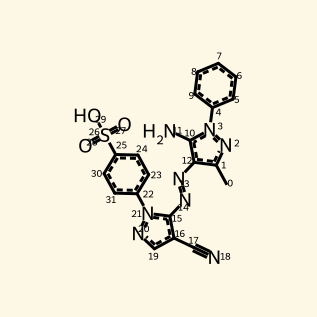 Cc1nn(-c2ccccc2)c(N)c1/N=N/c1c(C#N)cnn1-c1ccc(S(=O)(=O)O)cc1